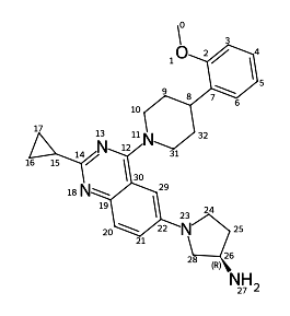 COc1ccccc1C1CCN(c2nc(C3CC3)nc3ccc(N4CC[C@@H](N)C4)cc23)CC1